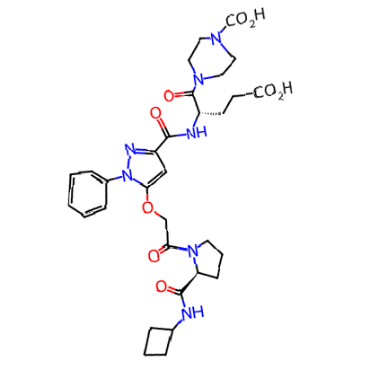 O=C(O)CC[C@H](NC(=O)c1cc(OCC(=O)N2CCC[C@H]2C(=O)NC2CCC2)n(-c2ccccc2)n1)C(=O)N1CCN(C(=O)O)CC1